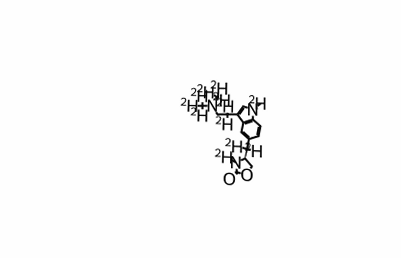 [2H]N1C(=O)OC[C@@H]1C([2H])([2H])c1ccc2c(c1)c(C([2H])([2H])CN(C([2H])([2H])[2H])C([2H])([2H])[2H])cn2[2H]